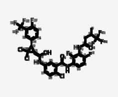 CC(CC(=O)Nc1c(F)ccc(NC(=O)c2cc(N/C(O)=C3/[C@H](c4ccc(F)c(C(F)(F)F)c4)C3(Cl)Cl)ccc2Cl)c1F)C(F)(F)F